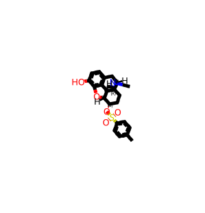 Cc1ccc(S(=O)(=O)O[C@H]2CC[C@H]3[C@H]4Cc5ccc(O)c6c5[C@@]3(CCN4C)[C@H]2O6)cc1